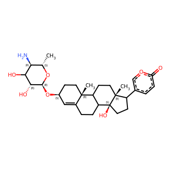 C[C@@H]1O[C@@H](O[C@@H]2C=C3CCC4C(CC[C@]5(C)C(c6ccc(=O)oc6)CC[C@]45O)[C@@]3(C)CC2)[C@H](O)C(O)[C@H]1N